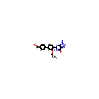 CCOc1cc(-c2ccc(CO)cc2)ccc1-c1nc2[nH]nnc2c(=O)[nH]1